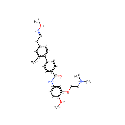 CON=CCc1ccc(-c2ccc(C(=O)Nc3ccc(OC)c(OCCN(C)C)c3)cc2)c(C)c1